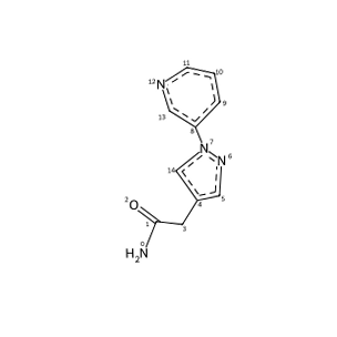 NC(=O)Cc1cnn(-c2cccnc2)c1